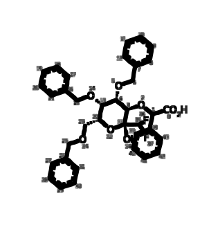 O=C(O)C(O[C@@H]1[C@@H](OCc2ccccc2)[C@@H](OCc2ccccc2)[C@@H](COCc2ccccc2)O[C@@]1(O)C(F)F)c1ccccc1